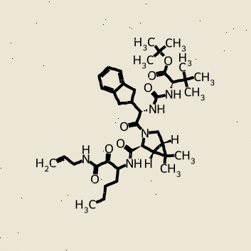 C=CCNC(=O)C(=O)C(CCCC)NC(=O)[C@@H]1[C@@H]2[C@H](CN1C(=O)[C@@H](NC(=O)N[C@H](C(=O)OC(C)(C)C)C(C)(C)C)C1Cc3ccccc3C1)C2(C)C